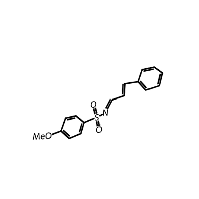 COc1ccc(S(=O)(=O)/N=C/C=C/c2ccccc2)cc1